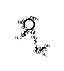 C/C(=C\c1csc(C)n1)C1CC2C(CCCC(C)C(O)C(C)C(=O)C(C)(C)C(O)CC(=O)O1)N2CCOC(=O)OCCSSCC(NC(=O)C(C)CC(=O)O)C(=O)O